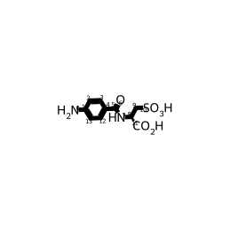 Nc1ccc(C(=O)N[C@@H](CS(=O)(=O)O)C(=O)O)cc1